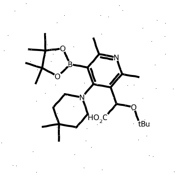 Cc1nc(C)c(C(OC(C)(C)C)C(=O)O)c(N2CCC(C)(C)CC2)c1B1OC(C)(C)C(C)(C)O1